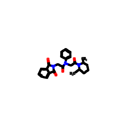 CC1CCCC(C)N1C(=O)CN(C(=O)CN1C(=O)c2ccccc2C1=O)c1ccccc1